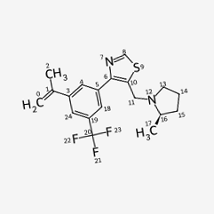 C=C(C)c1cc(-c2ncsc2CN2CCC[C@H]2C)cc(C(F)(F)F)c1